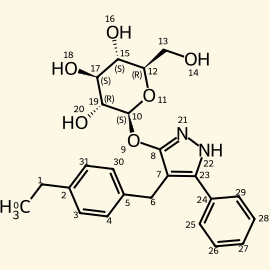 CCc1ccc(Cc2c(O[C@@H]3O[C@H](CO)[C@@H](O)[C@H](O)[C@H]3O)n[nH]c2-c2ccccc2)cc1